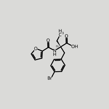 CC[C@@](Cc1ccc(Br)cc1)(NC(=O)c1ccco1)C(=O)O